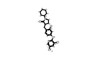 O=C1C(Cc2ccc(Oc3ncc(C(F)(F)F)cc3Cl)cc2Cl)CCN1C1CCCCC1